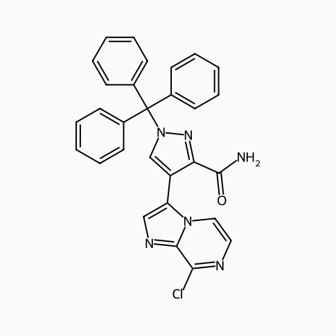 NC(=O)c1nn(C(c2ccccc2)(c2ccccc2)c2ccccc2)cc1-c1cnc2c(Cl)nccn12